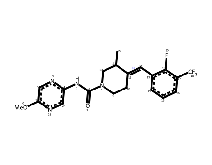 COc1cnc(NC(=O)N2CC/C(=C\c3cccc(C(F)(F)F)c3F)C(C)C2)cn1